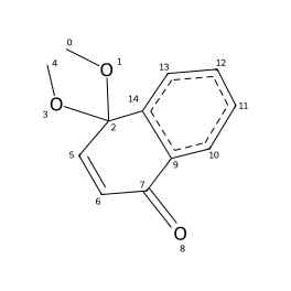 COC1(OC)C=CC(=O)c2ccccc21